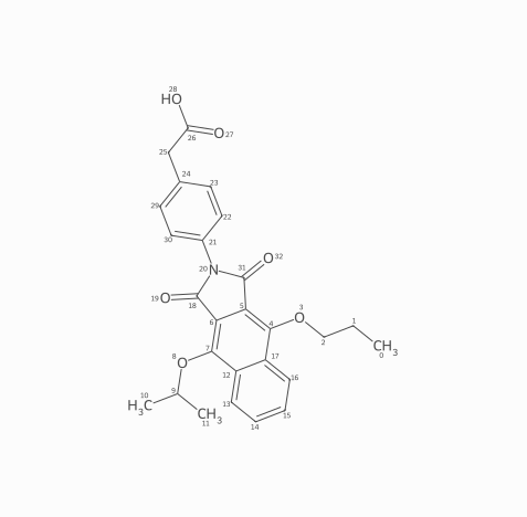 CCCOc1c2c(c(OC(C)C)c3ccccc13)C(=O)N(c1ccc(CC(=O)O)cc1)C2=O